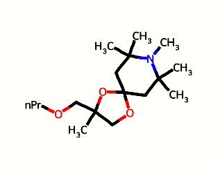 CCCOCC1(C)COC2(CC(C)(C)N(C)C(C)(C)C2)O1